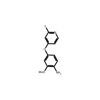 COc1cc(Oc2ccnc(F)c2)ccc1N